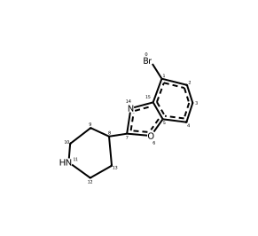 Brc1cccc2oc(C3CCNCC3)nc12